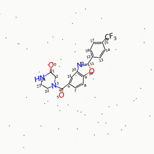 O=C1CN(C(=O)c2ccc3oc(-c4ccc(C(F)(F)F)cc4)nc3c2)CCN1